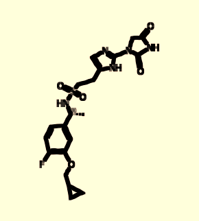 C[C@@H](NS(=O)(=O)CCc1cnc(N2CC(=O)NC2=O)[nH]1)c1ccc(F)c(OCC2CC2)c1